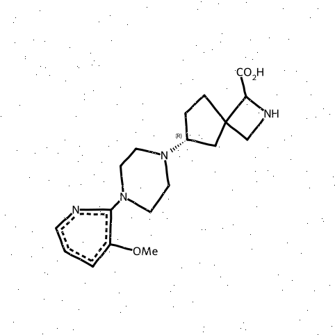 COc1cccnc1N1CCN([C@@H]2CCC3(CNC3C(=O)O)C2)CC1